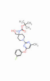 Cc1cc(Oc2cccc(F)c2)nc(N2CCC(CO)(NC(=O)OC(C)(C)C)CC2)n1